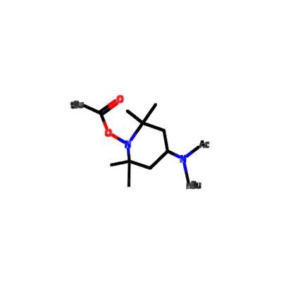 CCCCN(C(C)=O)C1CC(C)(C)N(OC(=O)C(C)(C)C)C(C)(C)C1